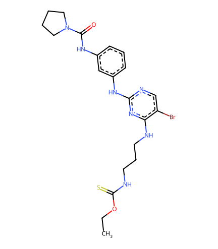 CCOC(=S)NCCCNc1nc(Nc2cccc(NC(=O)N3CCCC3)c2)ncc1Br